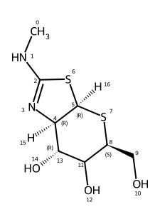 CNC1=N[C@H]2[C@@H](S1)S[C@@H](CO)C(O)[C@@H]2O